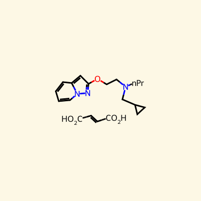 CCCN(CCOc1cc2ccccn2n1)CC1CC1.O=C(O)C=CC(=O)O